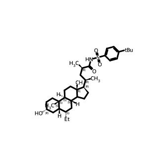 CC[C@H]1C[C@H]2C3CC[C@H]([C@H](C)C[C@@H](C)C(=O)NS(=O)(=O)c4ccc(C(C)(C)C)cc4)[C@@]3(C)CC[C@@H]2[C@@]2(C)CC[C@@H](O)C[C@@H]12